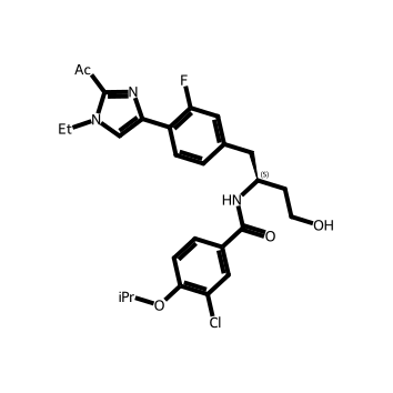 CCn1cc(-c2ccc(C[C@@H](CCO)NC(=O)c3ccc(OC(C)C)c(Cl)c3)cc2F)nc1C(C)=O